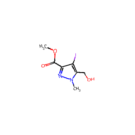 COC(=O)c1nn(C)c(CO)c1I